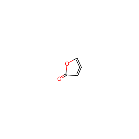 O=C1C=C=CO1